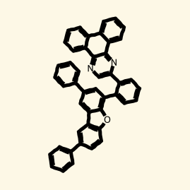 c1ccc(-c2ccc3oc4c(-c5ccccc5-c5cnc6c7ccccc7c7ccccc7c6n5)cc(-c5ccccc5)cc4c3c2)cc1